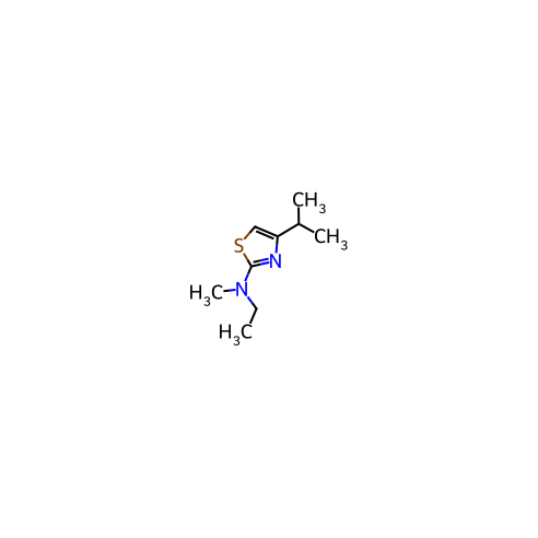 CCN(C)c1nc(C(C)C)cs1